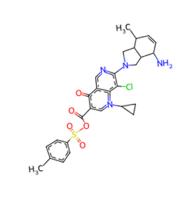 Cc1ccc(S(=O)(=O)OC(=O)c2cn(C3CC3)c3c(Cl)c(N4CC5C(C)C=CC(N)C5C4)ncc3c2=O)cc1